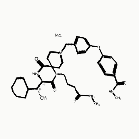 CNC(=O)CCCN1C(=O)[C@@H]([C@H](O)C2CCCCC2)NC(=O)C12CCN(Cc1ccc(Oc3ccc(C(=O)NC)cc3)cc1)CC2.Cl